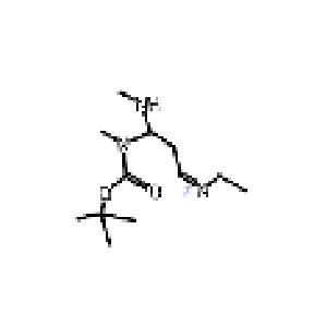 CC/N=C\CC(NC)N(C)C(=O)OC(C)(C)C